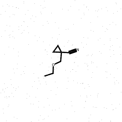 [CH2]COCC1(C#N)CC1